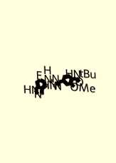 COc1cc(-c2n[nH]c(Nc3cc4cn[nH]c4cc3F)n2)ccc1C(=O)NC(C)(C)C